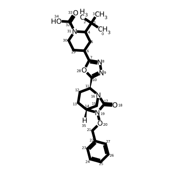 CC(C)(C)C1CC(c2nnc([C@@H]3CC[C@@H]4CN3C(=O)N4OCc3ccccc3)o2)CCN1C(=O)O